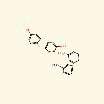 O=C(O)c1ccccc1.O=C(O)c1ccccc1.Oc1ccc(Sc2ccc(O)cc2)cc1